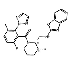 Cc1ccc(F)c(C(=O)N2CCC[C@@H](C)[C@H]2CNc2nc3ccccc3o2)c1-n1nccn1